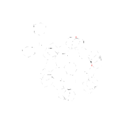 c1ccc(N(c2ccccc2)c2ccc3c(c2)c2ccccc2n3-c2c(-n3c4ccccc4c4ccccc43)c(-n3c4ccccc4c4ccccc43)c(B3c4ccccc4-c4ccccc43)c(-n3c4ccccc4c4ccccc43)c2-n2c3ccccc3c3ccccc32)cc1